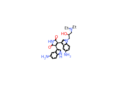 CCN(CC)CC(O)Cn1cc(C2=C(c3c[nH]c4ccc(N)cc34)C(=O)NC2=O)c2cc(N)ccc21